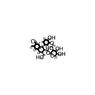 COc1cc([C@@H]2c3cc(Cl)c(C)cc3C[C@H](CO)[C@H]2CO[C@@H]2OC[C@@H](O)[C@H](O)[C@H]2O)ccc1O